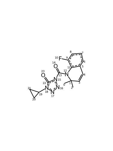 CC1(C)C=Cc2cccc(F)c2N1C(=O)n1nnn(C2CC2)c1=O